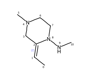 C/C=C1/CN(C)CCN1NC